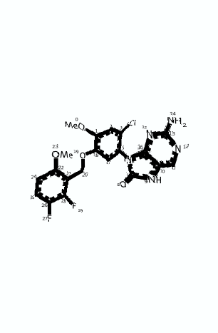 COc1cc(Cl)c(-n2c(=O)[nH]c3cnc(N)nc32)cc1OCc1c(OC)ccc(F)c1F